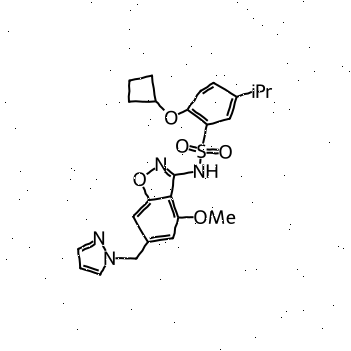 COc1cc(Cn2cccn2)cc2onc(NS(=O)(=O)c3cc(C(C)C)ccc3OC3CCC3)c12